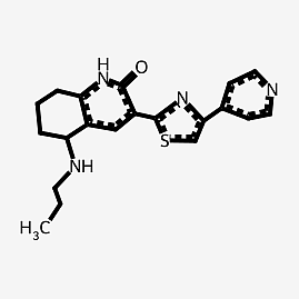 CCCNC1CCCc2[nH]c(=O)c(-c3nc(-c4ccncc4)cs3)cc21